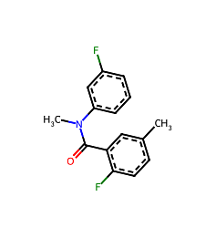 Cc1ccc(F)c(C(=O)N(C)c2cccc(F)c2)c1